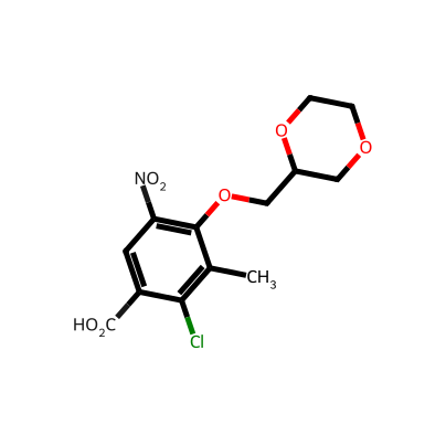 Cc1c(Cl)c(C(=O)O)cc([N+](=O)[O-])c1OCC1COCCO1